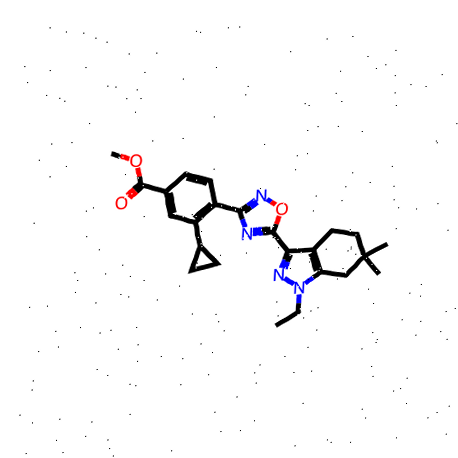 CCn1nc(-c2nc(-c3ccc(C(=O)OC)cc3C3CC3)no2)c2c1CC(C)(C)CC2